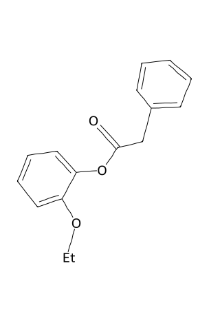 CCOc1ccccc1OC(=O)Cc1ccccc1